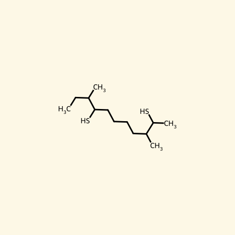 CCC(C)C(S)CCCCC(C)C(C)S